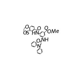 COC(=O)c1cc(NC(=O)CN(c2ccccc2)c2ccccc2)cc(NC(=O)c2ccc3c(c2)SOCCO3)c1